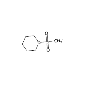 [CH2]S(=O)(=O)N1CCCCC1